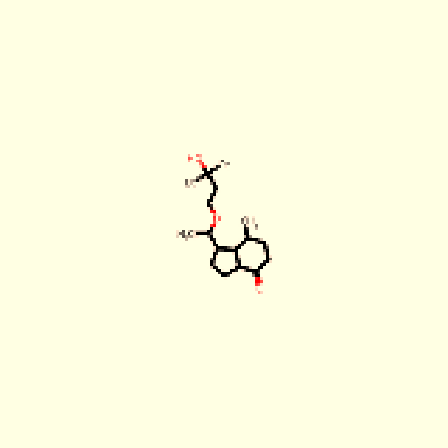 CCC(O)(CC)CCOC(C)C1CCC2C(=O)CCC(C)C21